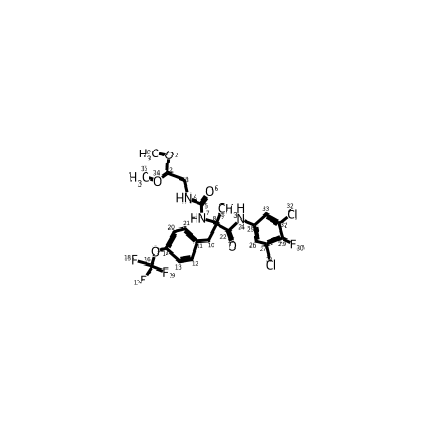 COC(CNC(=O)NC(C)(Cc1ccc(OC(F)(F)F)cc1)C(=O)Nc1cc(Cl)c(F)c(Cl)c1)OC